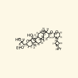 CCO[C@@H](C1C[C@@H](C)[C@H]2C(O1)[C@H](O)[C@@]1(C)C3CC[C@H]4C(C)(C)[C@@H](O[C@H]5CN(C6CN(C(C)C)C6)CCO5)CC[C@@]45CC35CC[C@]21C)C(C)(C)O